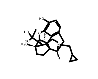 CO[C@]12CCC3(C[C@@H]1C(C)(O)C(C)(C)C)[C@H]1Cc4ccc(O)c5c4C3(CCN1CC1CC1)[C@H]2O5